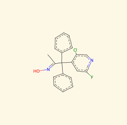 CC(=NO)C(c1ccccc1)(c1ccccc1)c1cc(F)ncc1Cl